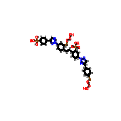 O=S(=O)(O)c1ccc(-c2cnn(-c3ccc(/C=C/c4ccc(-n5ncc(-c6ccc(SOOO)cc6)n5)cc4S(=O)(=O)O)c(SOOO)c3)n2)cc1